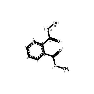 COC(=O)c1cccnc1C(=O)NO